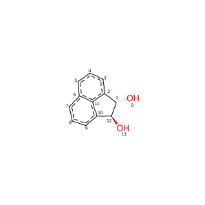 O[C@H]1c2cccc3cccc(c23)[C@@H]1O